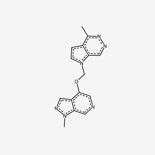 Cc1nncc2c1ccn2COc1cncc2c1cnn2C